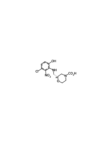 O=C(O)N1CCO[C@H](CNc2c(O)ccc(Cl)c2[N+](=O)[O-])C1